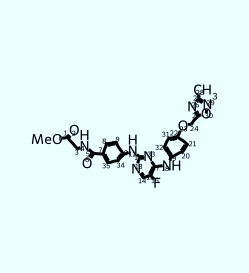 COC(=O)CNC(=O)c1ccc(Nc2ncc(F)c(Nc3ccc(OCc4nc(C)no4)cc3)n2)cc1